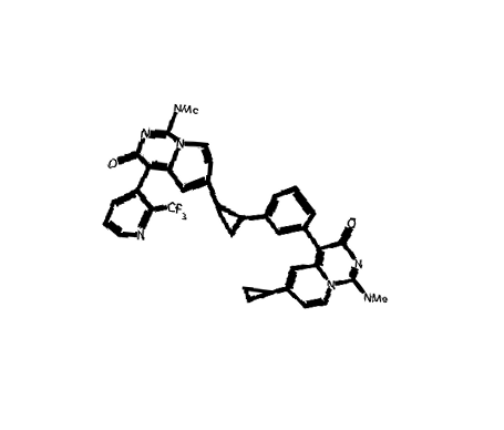 CNc1nc(=O)c(-c2cccc(C3CC3c3ccn4c(NC)nc(=O)c(-c5cccnc5C(F)(F)F)c4c3)c2)c2cc(C3CC3)ccn12